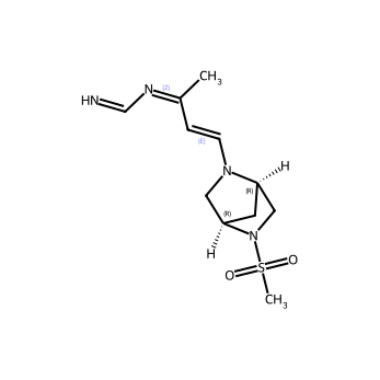 CC(/C=C/N1C[C@H]2C[C@@H]1CN2S(C)(=O)=O)=N/C=N